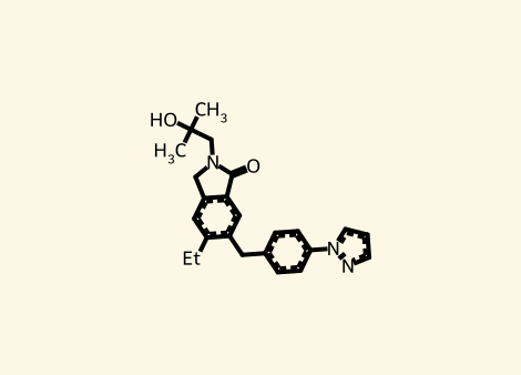 CCc1cc2c(cc1Cc1ccc(-n3cccn3)cc1)C(=O)N(CC(C)(C)O)C2